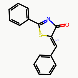 O=C1N=C(c2ccccc2)S/C1=C\c1ccccc1